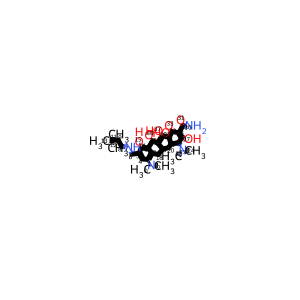 CN(C)c1cc(CNCCC(C)(C)C)c(O)c2c1CC1CC3C(N(C)C)C(O)=C(C(N)=O)C(=O)C3(O)C(O)=C1C2=O